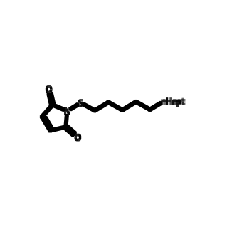 CCCCCCCCCCCCSN1C(=O)C=CC1=O